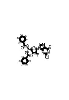 O=C(OC[C@H]1O[C@@H](n2cnc3c(Cl)nc(Cl)nc32)C(F)C1OC(=O)c1ccccc1)c1ccccc1